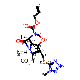 C=CCOC(=O)N1COC2C(CSc3nnnn3C)=C(C(=O)O)N3C(=O)[C@@H]1[C@@H]23.[NaH]